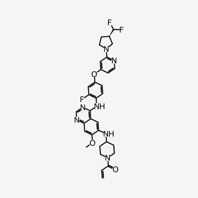 C=CC(=O)N1CCC(Nc2cc3c(Nc4ccc(Oc5ccnc(N6CC[C@@H](C(F)F)C6)c5)cc4F)ncnc3cc2OC)CC1